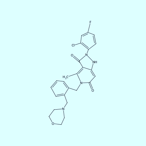 Cc1c2c(=O)n(-c3ccc(F)cc3Cl)[nH]c2cc(=O)n1Cc1ccccc1CN1CCOCC1